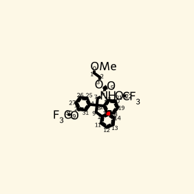 COCCOC(=O)NCC(Cc1ccccc1)(c1cccc(OC(F)(F)F)c1)c1cccc(OC(F)(F)F)c1